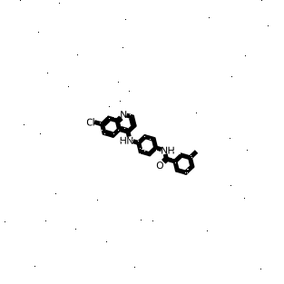 CC1CCCC(C(=O)NC2CCC(Nc3ccnc4cc(Cl)ccc34)CC2)C1